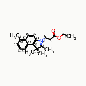 CCOC(=O)CC[N+]1=C(C)C(C)(C)c2c1ccc1c(C)cccc21